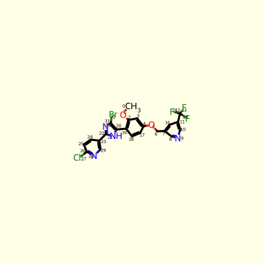 COc1cc(OCc2cncc(C(F)(F)F)c2)ccc1-c1[nH]c(-c2ccc(Cl)nc2)nc1Br